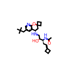 CC(=O)N[C@@H](CC=C1CCC1)[C@@H](O)CN[C@H]1CC2(CCC2)Oc2ncc(CC(C)(C)C)cc21